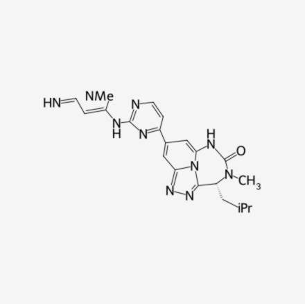 CN/C(=C\C=N)Nc1nccc(-c2cc3n4c(nnc4c2)[C@@H](CC(C)C)N(C)C(=O)N3)n1